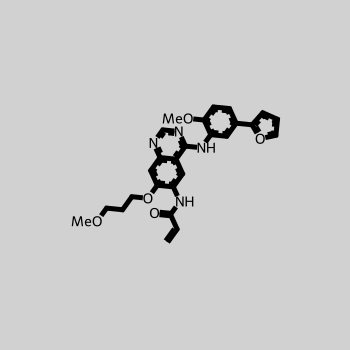 C=CC(=O)Nc1cc2c(Nc3cc(-c4ccco4)ccc3OC)ncnc2cc1OCCCOC